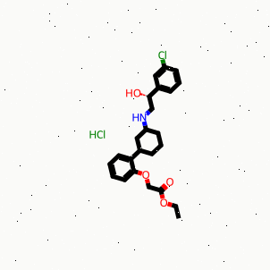 CCOC(=O)COc1ccccc1C1CCCC(NC[C@H](O)c2cccc(Cl)c2)C1.Cl